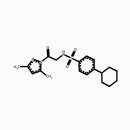 Cc1cc(C)n(C(=O)CNS(=O)(=O)c2ccc(C3CCCCC3)cc2)n1